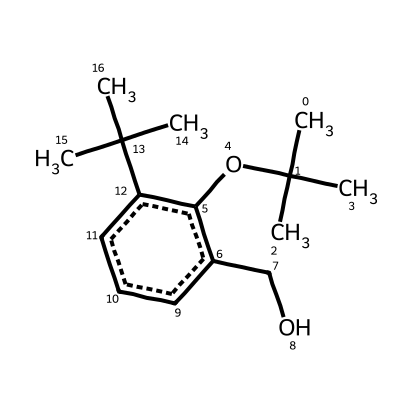 CC(C)(C)Oc1c(CO)cccc1C(C)(C)C